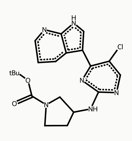 CC(C)(C)OC(=O)N1CCC(Nc2ncc(Cl)c(-c3c[nH]c4ncccc34)n2)C1